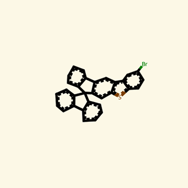 Brc1ccc2sc3cc4c(cc3c2c1)-c1ccccc1C41c2ccccc2-c2ccccc21